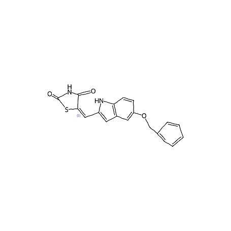 O=C1NC(=O)/C(=C\c2cc3cc(OCc4ccccc4)ccc3[nH]2)S1